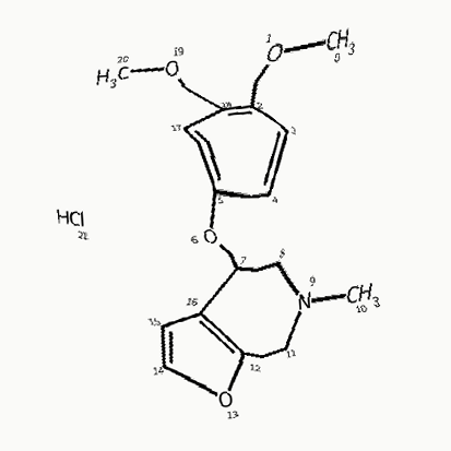 COc1ccc(OC2CN(C)Cc3occc32)cc1OC.Cl